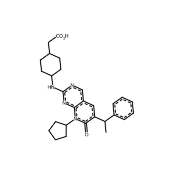 CC(c1ccccc1)c1cc2cnc(NC3CCC(CC(=O)O)CC3)nc2n(C2CCCC2)c1=O